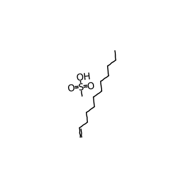 C=CCCCCCCCCCC.CS(=O)(=O)O